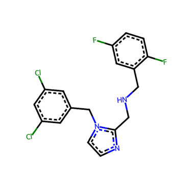 Fc1ccc(F)c(CNCc2nccn2Cc2cc(Cl)cc(Cl)c2)c1